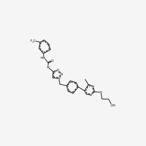 Cc1nc(OCCO)ncc1-c1ccc(C[n+]2cc([N-]C(=O)Nc3cccc(C(F)(F)F)c3)on2)cc1